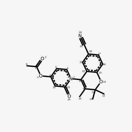 CC(=O)Oc1ccn(C2=C(C)C(C)(C)Oc3ccc(C#N)cc32)c(=O)c1